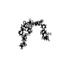 Cn1cc(Nc2nc(N3CCC[C@@H](N4CC5(CN(C(=O)OC(C)(C)CNC(=O)c6ncc(N7CCC[C@H](N8CC9(CN(C(=O)OC(C)(C)C)C9)OC8=O)C7)nc6Nc6cnn(C)c6)C5)OC4=O)C3)cnc2C#N)cn1